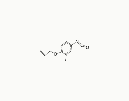 C=CCOc1ccc(N=C=O)cc1C